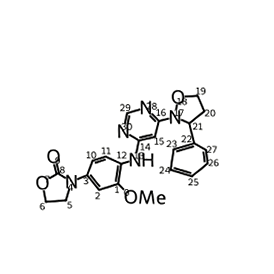 COc1cc(N2CCOC2=O)ccc1Nc1cc(N2OCCC2c2ccccc2)ncn1